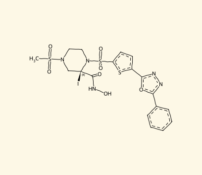 CS(=O)(=O)N1CCN(S(=O)(=O)c2ccc(-c3nnc(-c4ccccc4)o3)s2)[C@](I)(C(=O)NO)C1